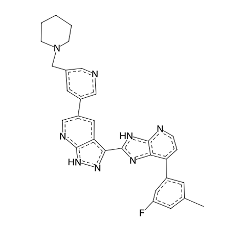 Cc1cc(F)cc(-c2ccnc3[nH]c(-c4n[nH]c5ncc(-c6cncc(CN7CCCCC7)c6)cc45)nc23)c1